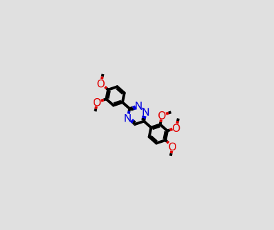 COc1ccc(-c2ncc(-c3ccc(OC)c(OC)c3OC)nn2)cc1OC